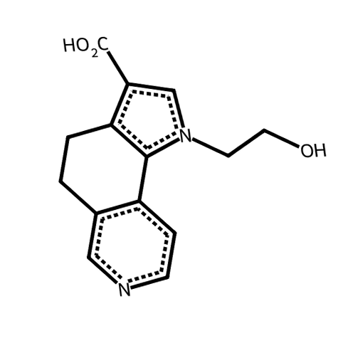 O=C(O)c1cn(CCO)c2c1CCc1cnccc1-2